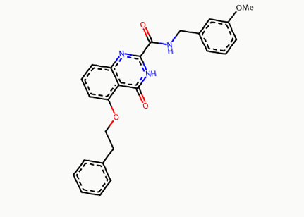 COc1cccc(CNC(=O)c2nc3cccc(OCCc4ccccc4)c3c(=O)[nH]2)c1